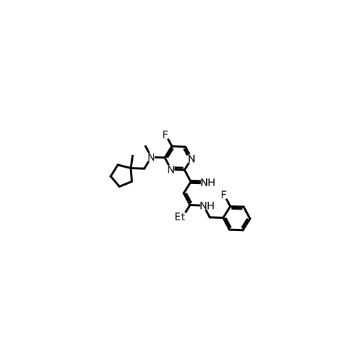 CC/C(=C/C(=N)c1ncc(F)c(N(C)CC2(C)CCCC2)n1)NCc1ccccc1F